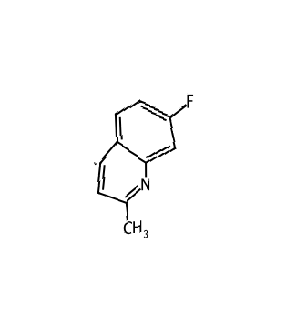 Cc1c[c]c2ccc(F)cc2n1